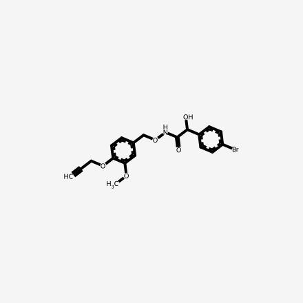 C#CCOc1ccc(CONC(=O)C(O)c2ccc(Br)cc2)cc1OC